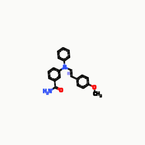 COc1ccc(/C=C/N(c2ccccc2)c2cccc(C(N)=O)c2)cc1